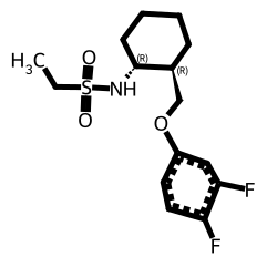 CCS(=O)(=O)N[C@@H]1CCCC[C@H]1COc1ccc(F)c(F)c1